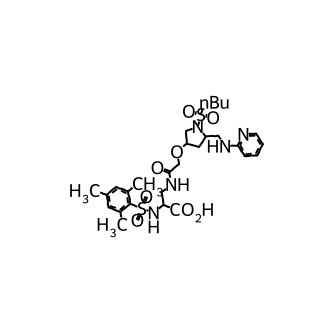 CCCCS(=O)(=O)N1CC(OCC(=O)NCC(NS(=O)(=O)c2c(C)cc(C)cc2C)C(=O)O)CC1CNc1ccccn1